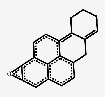 C1=C2Cc3ccc4cc5oc5c5ccc(c3c45)=C2CCC1